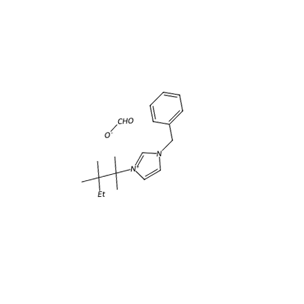 CCC(C)(C)C(C)(C)[n+]1ccn(Cc2ccccc2)c1.O=C[O-]